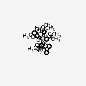 CC(C)[C@@H](C)c1cc2c3c(c1)N(c1ccc(C(C)(C)C)cc1)c1c(oc4cc5c(cc14)C(C)(C)CCC5(C)C)B3c1cc(C(C)(C)C)ccc1N2c1cccc2c1C(C)(C)c1ccccc1-2